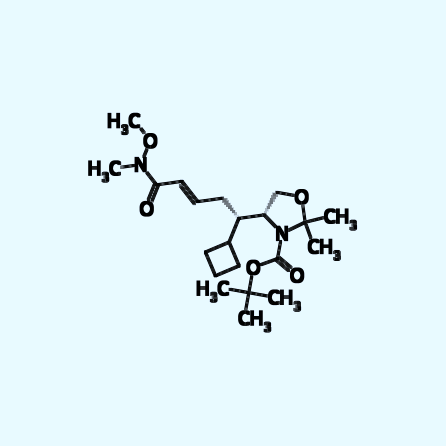 CON(C)C(=O)C=CC[C@@H](C1CCC1)[C@@H]1COC(C)(C)N1C(=O)OC(C)(C)C